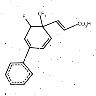 O=C(O)C=CC1(C(F)(F)F)C=CC(c2ccccc2)=CC1F